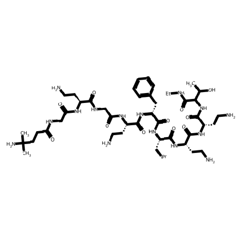 CCNC(=O)C(NC(=O)[C@H](CCN)NC(=O)[C@H](CCN)NC(=O)[C@H](CC(C)C)NC(=O)[C@@H](Cc1ccccc1)NC(=O)[C@H](CCN)NC(=O)CNC(=O)[C@H](CCN)NC(=O)CNC(=O)CCC(C)(C)N)C(C)O